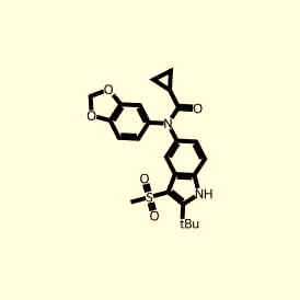 CC(C)(C)c1[nH]c2ccc(N(C(=O)C3CC3)c3ccc4c(c3)OCO4)cc2c1S(C)(=O)=O